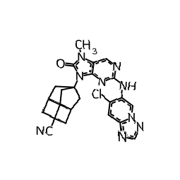 Cn1c(=O)n(C23CC4CC5(C#N)CC(C2)C45C3)c2nc(Nc3cn4ncnc4cc3Cl)ncc21